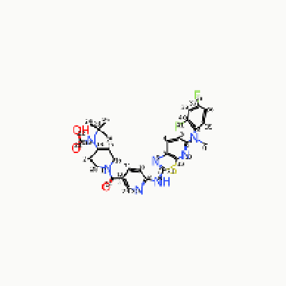 CN(c1ccc2nc(Nc3ccc(C(=O)N4CCC(N(C(=O)O)C(C)(C)C)CC4)cn3)sc2n1)c1ccc(F)cc1F